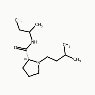 CCC(C)NC(=O)[C@H]1CCCN1CCC(C)C